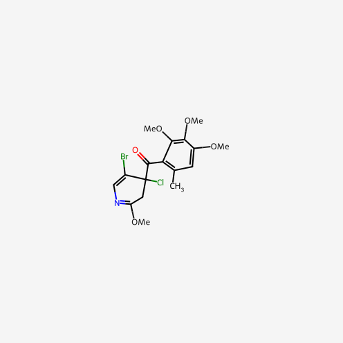 COC1=NC=C(Br)C(Cl)(C(=O)c2c(C)cc(OC)c(OC)c2OC)C1